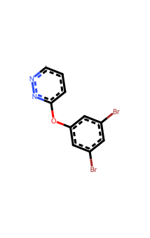 Brc1cc(Br)cc(Oc2cc[c]nn2)c1